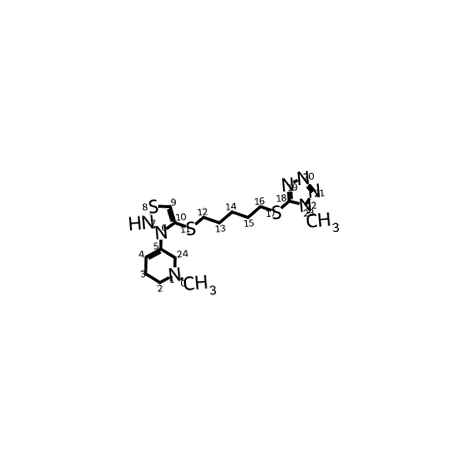 CN1CCC=C(N2NSC=C2SCCCCCSc2nnnn2C)C1